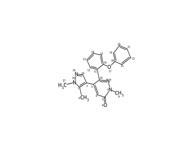 Cc1c(-c2cc(=O)n(C)nc2-c2ccccc2Oc2ccccc2)cnn1C